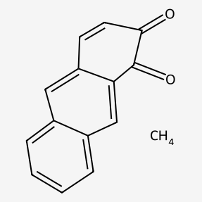 C.O=C1C=Cc2cc3ccccc3cc2C1=O